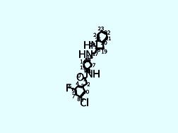 O=C(Cc1cc(F)cc(Cl)c1)N[C@H]1CC[C@H](NCc2cc3ccccc3[nH]2)C1